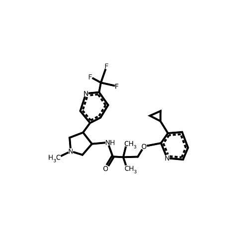 CN1CC(NC(=O)C(C)(C)COc2ncccc2C2CC2)C(c2ccc(C(F)(F)F)nc2)C1